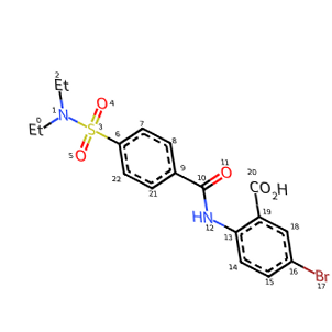 CCN(CC)S(=O)(=O)c1ccc(C(=O)Nc2ccc(Br)cc2C(=O)O)cc1